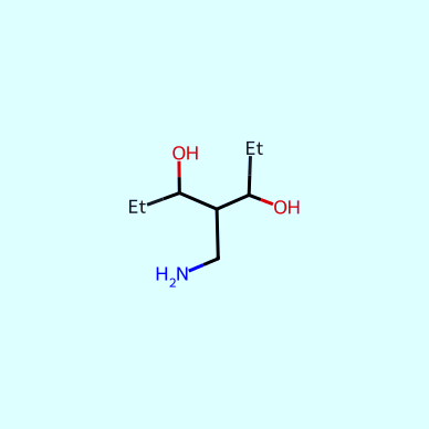 CCC(O)C(CN)C(O)CC